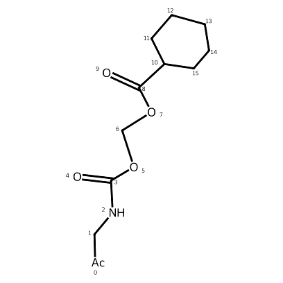 [CH2]C(=O)CNC(=O)OCOC(=O)C1CCCCC1